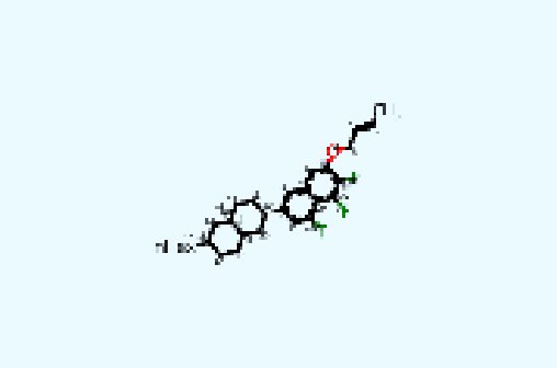 C/C=C/COc1cc2cc([C@@H]3CC[C@@H]4CC(CCCCCC)CCC4C3)cc(F)c2c(F)c1F